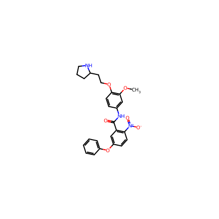 COc1cc(NC(=O)c2cc(Oc3ccccc3)ccc2[N+](=O)[O-])ccc1OCCC1CCCN1